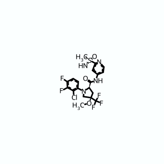 CO[C@]1(C(F)(F)F)C[C@H](C(=O)Nc2ccnc([S@](C)(=N)=O)c2)N(c2ccc(F)c(F)c2Cl)C1